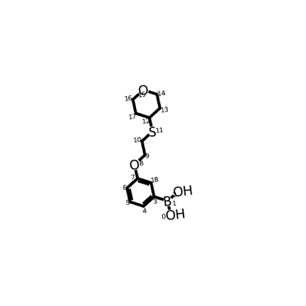 OB(O)c1cccc(OCCSC2CCOCC2)c1